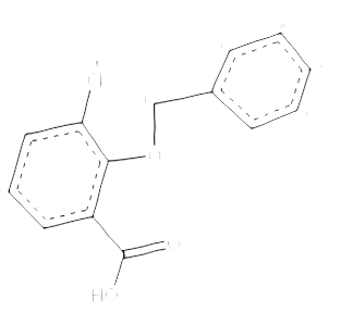 O=C(O)c1cccc(Cl)c1OCc1ccccc1